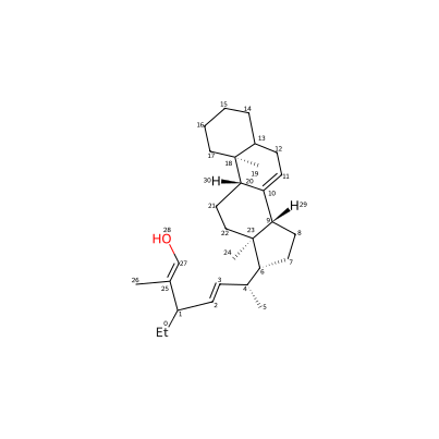 CCC(C=C[C@@H](C)[C@H]1CC[C@H]2C3=CCC4CCCC[C@]4(C)[C@H]3CC[C@]12C)C(C)=CO